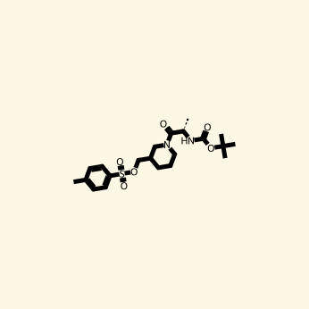 Cc1ccc(S(=O)(=O)OCC2CCCN(C(=O)[C@H](C)NC(=O)OC(C)(C)C)C2)cc1